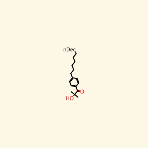 CCCCCCCCCCCCCCCCc1ccc(C(=O)C(C)(C)O)cc1